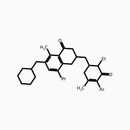 CCC1C(=O)C(C(C)=O)=C(C)CC1CC1CC(=O)c2c(C)c(CC3CCCCC3)cc(C(C)C)c2C1